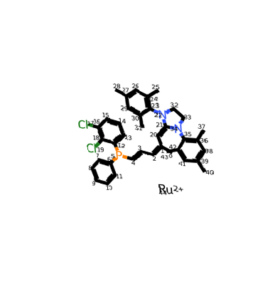 CC(=CC=CP(c1ccccc1)c1cccc(Cl)c1Cl)C=C1N(c2c(C)cc(C)cc2C)CCN1c1c(C)cc(C)cc1C.[Ru+2]